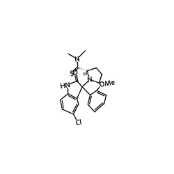 COc1ccccc1C1(N2CCC[C@H]2C(=S)N(C)C)C(=O)Nc2ccc(Cl)cc21